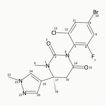 CN1C(=O)N(c2c(F)cc(Br)cc2Cl)C(=O)C[C@@]1(C)c1cnn(C)c1